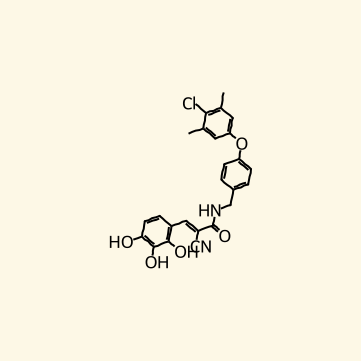 Cc1cc(Oc2ccc(CNC(=O)C(C#N)=Cc3ccc(O)c(O)c3O)cc2)cc(C)c1Cl